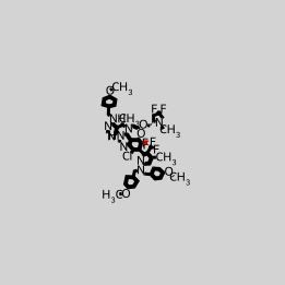 COc1ccc(CNc2ncncc2C(C)N2C=C(OC[C@@H]3CC(F)(F)CN3C)Oc3c(F)c(-c4nc(N(Cc5ccc(OC)cc5)Cc5ccc(OC)cc5)cc(C)c4C(F)(F)F)c(Cl)c4c3=C2NCN=4)cc1